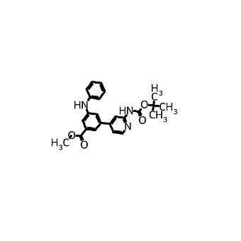 COC(=O)c1cc(Nc2ccccc2)cc(-c2ccnc(NC(=O)OC(C)(C)C)c2)c1